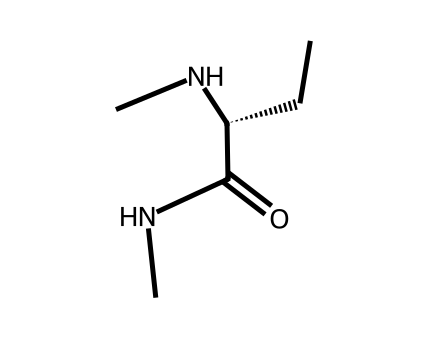 CC[C@@H](NC)C(=O)NC